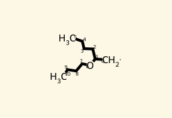 [CH2]C(CCCC)OCCCC